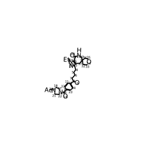 CCn1nc(CCCCC(=O)c2ccc(C(=O)N3CCN(C(C)=O)CC3)cc2)c2c1C(=O)NCC1(CCOCC1)C2